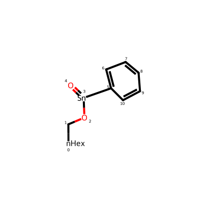 CCCCCCC[O][Sn](=[O])[c]1ccccc1